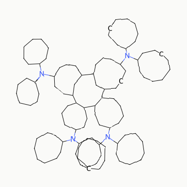 C1CCCCC(N(C2CCCCCCCC2)C2CCCC3CC(CCC2)C2CCCCC(N(C4CCCCCCCC4)C4CCCCCCC4)CCC2C2CCC(N(C4CCCCCCCC4)C4CCCCCCCC4)CCCC2C2CCC(N(C4CCCCCCC4)C4CCCCCCC4)CCCC3C2)CCCC1